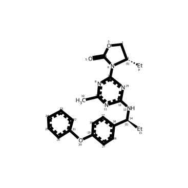 CC[C@H]1COC(=O)N1c1nc(C)nc(N[C@@H](CC)c2ccc(Oc3ccccc3)cc2)n1